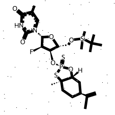 C=C(C)[C@H]1CC[C@@]2(C)S[P@](=S)(O[C@H]3[C@@H](F)[C@H](n4cc(C)c(=O)[nH]c4=O)O[C@@H]3CO[Si](C)(C)C(C)(C)C)O[C@@H]2C1